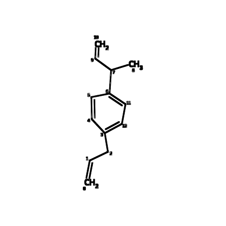 C=CCc1ccc(C(C)C=C)cc1